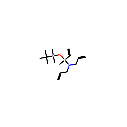 C=CCN(CC=C)[Si](C)(C=C)O[Si](C)(C)C(C)(C)C